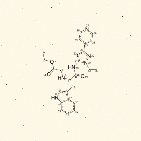 CCOC(=O)CN[C@@H](Cc1c[nH]c2ccccc12)C(=O)Nc1cc(-c2ccncc2)nn1CC